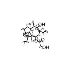 C=C[C@]1(C)C[C@@H](OC(=O)CO)[C@](C)([C@H](C)CC)[C@@H]2C(=O)CC[C@@]2(C)[C@@H](C)[C@@H]1O